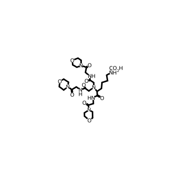 O=C(O)NCCCCC(C(=O)NCC(=O)N1CCOCC1)N(CC(=O)NCC(=O)N1CCOCC1)CC(=O)NCC(=O)N1CCOCC1